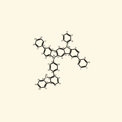 c1ccc(-c2ccc3c(c2)c2cc4c(cc2n3-c2ccccc2)c2cc(-c3ccccc3)ccc2n4-c2ccc(-c3cccc4c3oc3ccccc34)cc2)cc1